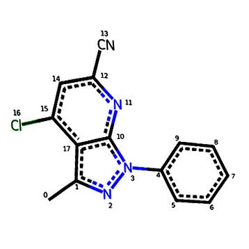 Cc1nn(-c2ccccc2)c2nc(C#N)cc(Cl)c12